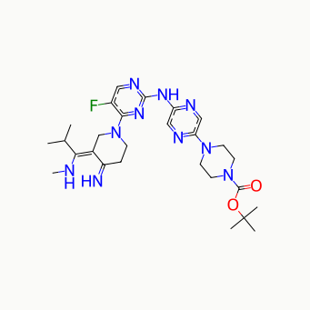 CN/C(=C1/CN(c2nc(Nc3cnc(N4CCN(C(=O)OC(C)(C)C)CC4)cn3)ncc2F)CCC1=N)C(C)C